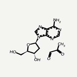 CC(=O)C=O.Nc1ncnc2c1ncn2[C@H]1C[C@H](O)[C@@H](CO)O1